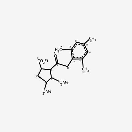 CCOC(=O)C1CC(OC)C(OC)C1C(=O)Cc1c(C)cc(C)cc1C